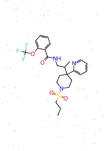 CCCS(=O)(=O)N1CCC(c2ccccn2)(C(C)CNC(=O)c2ccccc2OC(F)(F)F)CC1